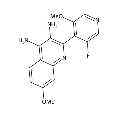 COc1ccc2c(N)c(N)c(-c3c(F)cncc3OC)nc2c1